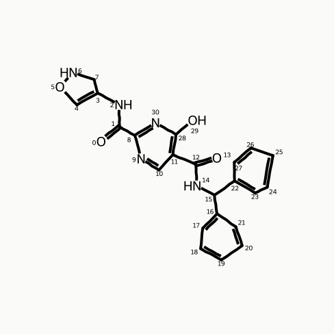 O=C(NC1=CONC1)c1ncc(C(=O)NC(c2ccccc2)c2ccccc2)c(O)n1